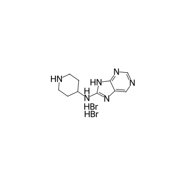 Br.Br.c1ncc2nc(NC3CCNCC3)[nH]c2n1